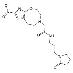 O=C(CN1CCOc2nc([N+](=O)[O-])cn2CC1)NCCCN1CCCC1=O